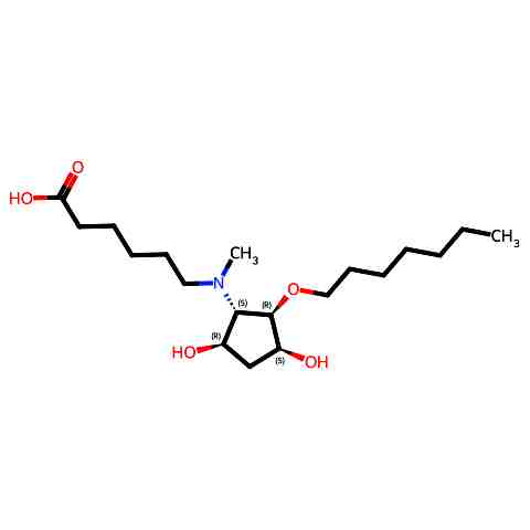 CCCCCCCO[C@@H]1[C@@H](N(C)CCCCCC(=O)O)[C@H](O)C[C@@H]1O